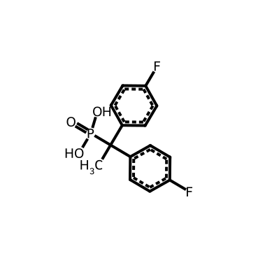 CC(c1ccc(F)cc1)(c1ccc(F)cc1)P(=O)(O)O